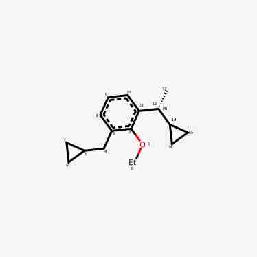 CCOc1c(CC2CC2)cccc1[C@H](C)C1CC1